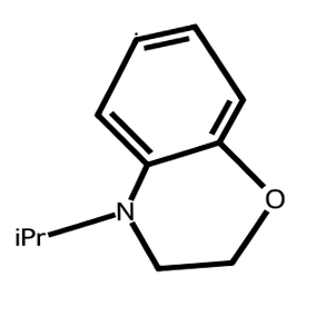 CC(C)N1CCOc2cc[c]cc21